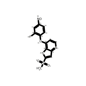 CS(=O)(=O)c1cc2nccc(Oc3ccc(N=O)cc3F)c2s1